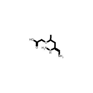 CC(C/C(=C/N)NN)OCC(=O)O